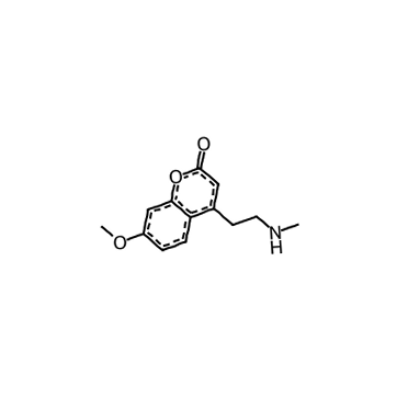 CNCCc1cc(=O)oc2cc(OC)ccc12